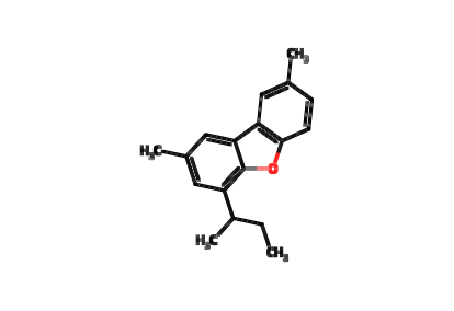 CCC(C)c1cc(C)cc2c1oc1ccc(C)cc12